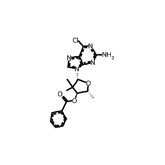 C[C@H]1O[C@@H](n2cnc3c(Cl)nc(N)nc32)C(C)(C)[C@@H]1OC(=O)c1ccccc1